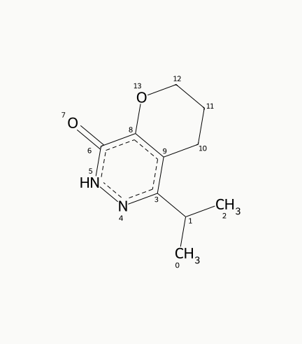 CC(C)c1n[nH]c(=O)c2c1CCCO2